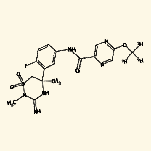 [2H]C([2H])([2H])Oc1cnc(C(=O)Nc2ccc(F)c([C@]3(C)CS(=O)(=O)N(C)C(=N)N3)c2)cn1